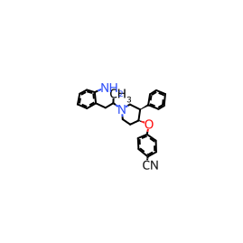 CC(Cc1ccccc1N)N1CC[C@H](Oc2ccc(C#N)cc2)[C@H](c2ccccc2)C1